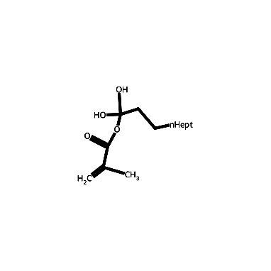 C=C(C)C(=O)OC(O)(O)CCCCCCCCC